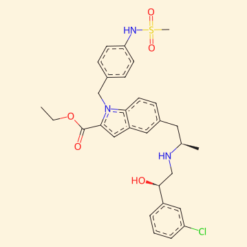 CCOC(=O)c1cc2cc(C[C@@H](C)NC[C@H](O)c3cccc(Cl)c3)ccc2n1Cc1ccc(NS(C)(=O)=O)cc1